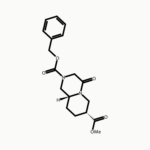 COC(=O)[C@@H]1CC[C@@H]2CN(C(=O)OCc3ccccc3)CC(=O)N2C1